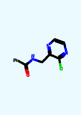 CC(C)C(=O)NCc1nccnc1Cl